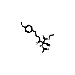 CCOC(=O)C(C#N)(NC(C)=O)C(=O)CCCc1ccc(OC)cc1